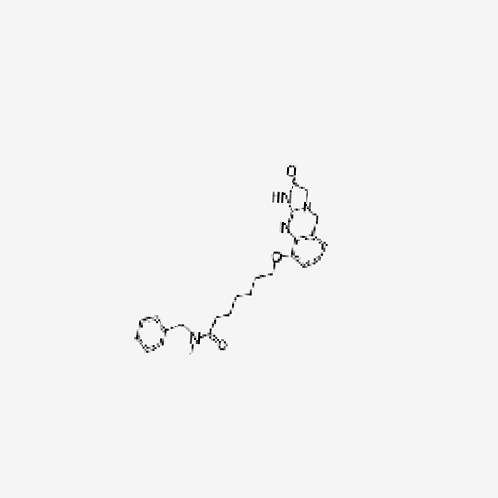 CN(Cc1ccccc1)C(=O)CCCCCCOc1cccc2c1N=C1NC(=O)CN1C2